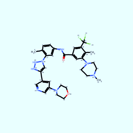 Cc1ccc(NC(=O)c2cc(N3CCN(C)CC3)c(C)c(C(F)(F)F)c2)cc1N1C=C(c2cncc(N3CCOCC3)c2)NN1